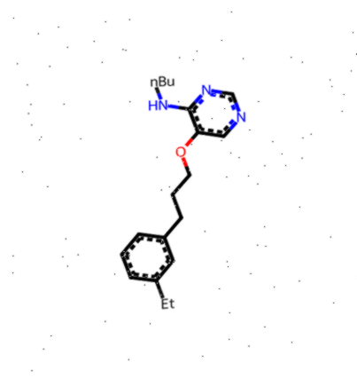 CCCCNc1ncncc1OCCCc1cccc(CC)c1